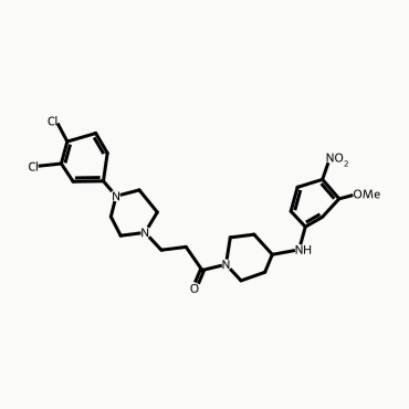 COc1cc(NC2CCN(C(=O)CCN3CCN(c4ccc(Cl)c(Cl)c4)CC3)CC2)ccc1[N+](=O)[O-]